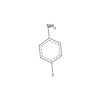 [SiH3]c1ccc(I)cc1